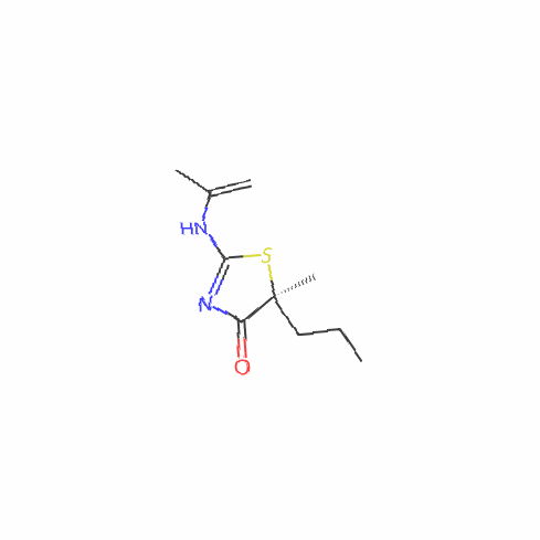 C=C(C)NC1=NC(=O)[C@](C)(CCC)S1